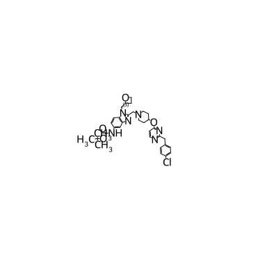 CC(C)(C)OC(=O)Nc1ccc2c(c1)nc(CN1CCC(Oc3ccnc(Cc4ccc(Cl)cc4)n3)CC1)n2C[C@@H]1CCO1